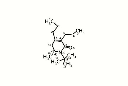 CCCC1=C(CCC)C(=O)N(C(C)(C)C)[C@H](C)C1